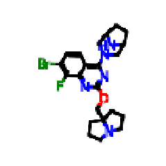 Fc1c(Br)ccc2c(N3CC4CCC(C3)N4)nc(OCC34CCCN3CCC4)nc12